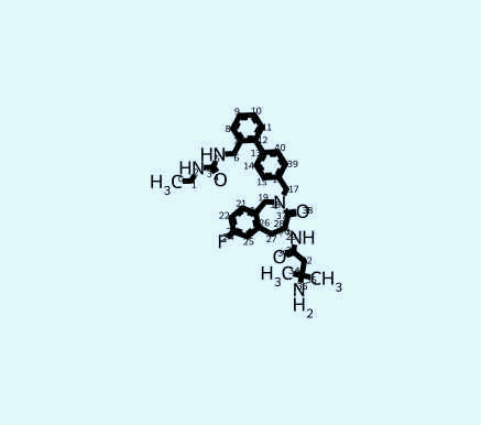 CCNC(=O)NCc1ccccc1-c1ccc(CN2Cc3ccc(F)cc3C[C@@H](NC(=O)CC(C)(C)N)C2=O)cc1